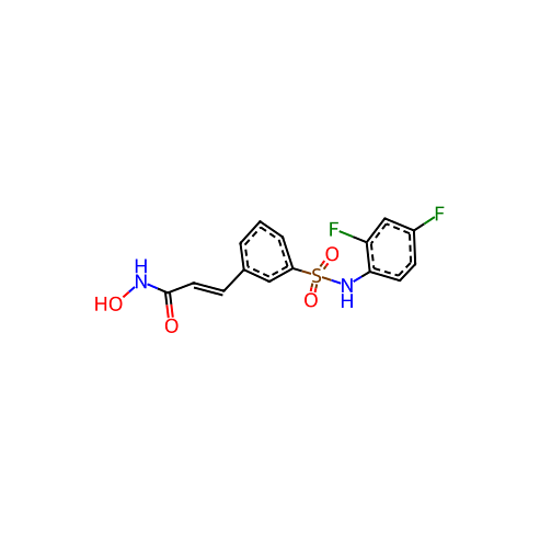 O=C(C=Cc1cccc(S(=O)(=O)Nc2ccc(F)cc2F)c1)NO